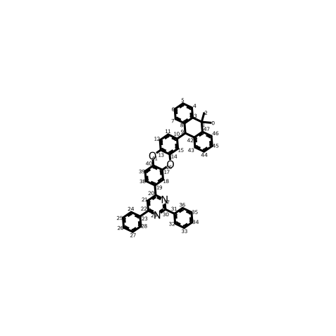 CC1(C)c2ccccc2C(c2ccc3c(c2)Oc2cc(-c4cc(-c5ccccc5)nc(-c5ccccc5)n4)ccc2O3)c2ccccc21